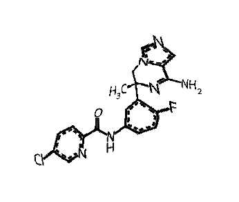 C[C@@]1(c2cc(NC(=O)c3ccc(Cl)cn3)ccc2F)Cn2cncc2C(N)=N1